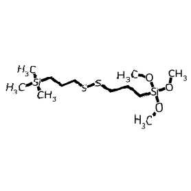 CO[Si](CCCSSCCC[Si](C)(C)C)(OC)OC